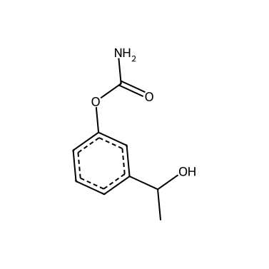 CC(O)c1cccc(OC(N)=O)c1